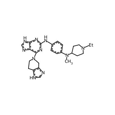 CCN1CCC(N(C)c2ccc(Nc3nc(N4CCc5[nH]cnc5C4)c4nc[nH]c4n3)cc2)CC1